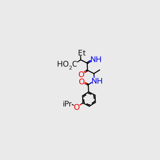 CCC(C(=N)C(=O)C(C)NC(=O)c1cccc(OC(C)C)c1)C(=O)O